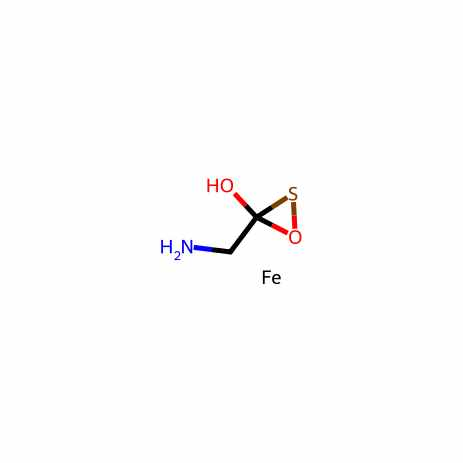 NCC1(O)OS1.[Fe]